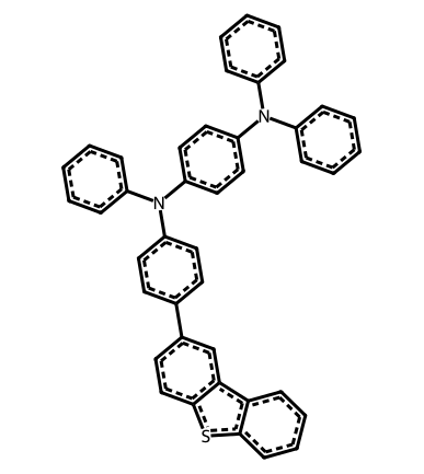 c1ccc(N(c2ccccc2)c2ccc(N(c3ccccc3)c3ccc(-c4ccc5sc6ccccc6c5c4)cc3)cc2)cc1